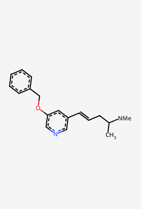 CNC(C)C/C=C/c1cncc(OCc2ccccc2)c1